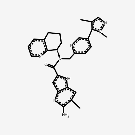 Cc1cc2[nH]c(C(=O)N(Cc3ccc(-c4c(C)cnn4C)cn3)[C@@H]3CCCc4cccnc43)cc2nc1N